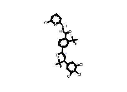 O=C(NNc1cccc(Cl)n1)c1ccc(/C(F)=C/C(c2cc(Cl)c(Cl)c(Cl)c2)C(F)(F)F)cc1C(F)(F)F